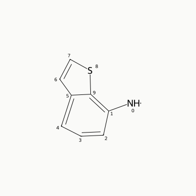 [NH]c1cccc2ccsc12